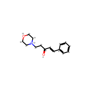 O=C(C=Cc1ccccc1)CCN1CCOCC1